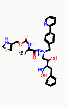 CC(C)(C)C(NC(=O)OCC1=CSCN1)C(=O)NN(Cc1ccc(-c2ccccn2)cc1)CC(O)C(Cc1ccccc1)NO